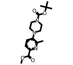 COC(=O)c1ccc(N2CCN(C(=O)OC(C)(C)C)CC2)c(C)n1